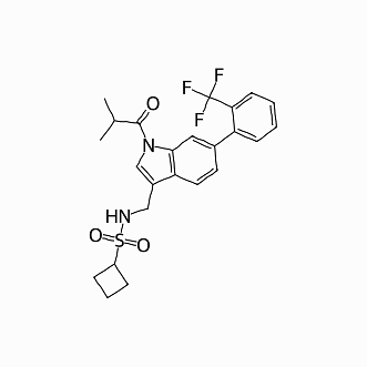 CC(C)C(=O)n1cc(CNS(=O)(=O)C2CCC2)c2ccc(-c3ccccc3C(F)(F)F)cc21